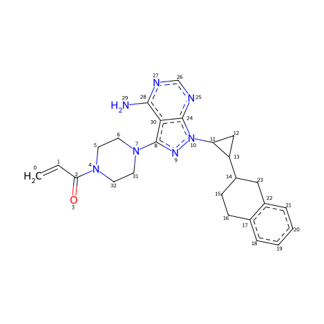 C=CC(=O)N1CCN(c2nn(C3CC3C3CCc4ccccc4C3)c3ncnc(N)c23)CC1